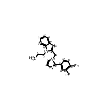 CCCn1c(Cn2ccnc2-c2ccc(F)c(F)c2)nc2cccnc21